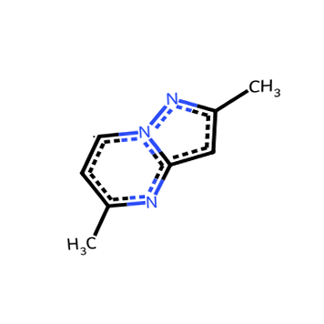 Cc1c[c]n2nc(C)cc2n1